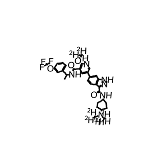 [2H]C([2H])([2H])Oc1ncc(-c2ccc3c(C(=O)NC4CCC(N(C([2H])([2H])[2H])C([2H])([2H])[2H])CC4)n[nH]c3c2)cc1C(=O)NC(C)c1cccc(OC(F)(F)F)c1